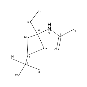 C=C(C)NC1(CC)CC(C(C)(C)C)C1